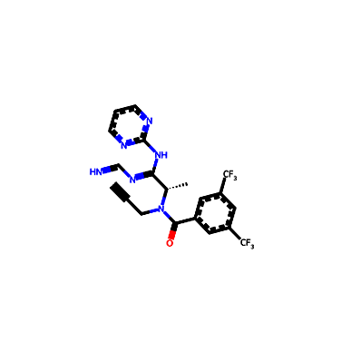 C#CCN(C(=O)c1cc(C(F)(F)F)cc(C(F)(F)F)c1)[C@@H](C)/C(=N/C=N)Nc1ncccn1